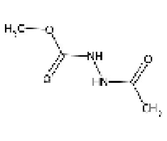 COC(=O)NNC(C)=O